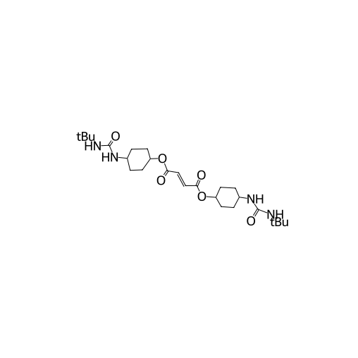 CC(C)(C)NC(=O)NC1CCC(OC(=O)/C=C/C(=O)OC2CCC(NC(=O)NC(C)(C)C)CC2)CC1